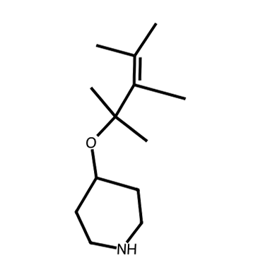 CC(C)=C(C)C(C)(C)OC1CCNCC1